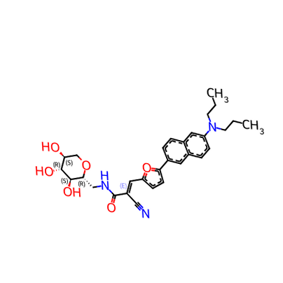 CCCN(CCC)c1ccc2cc(-c3ccc(/C=C(\C#N)C(=O)NC[C@H]4OC[C@H](O)[C@@H](O)[C@@H]4O)o3)ccc2c1